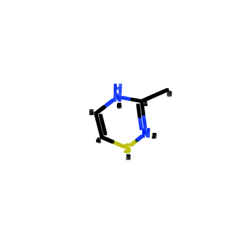 CC1=NSC=CN1